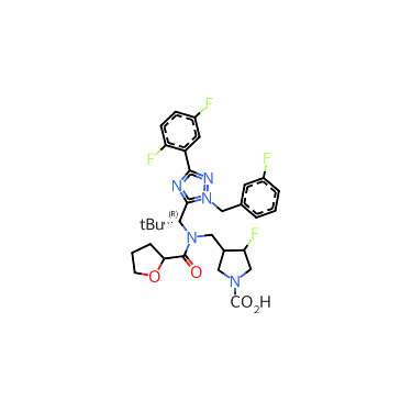 CC(C)(C)[C@H](c1nc(-c2cc(F)ccc2F)nn1Cc1cccc(F)c1)N(CC1CN(C(=O)O)CC1F)C(=O)C1CCCO1